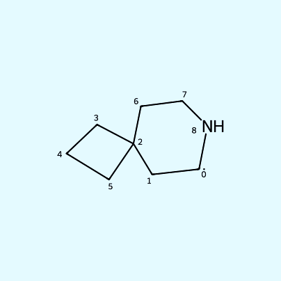 [CH]1CC2(CCC2)CCN1